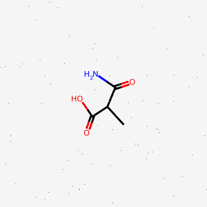 CC(C(N)=O)C(=O)O